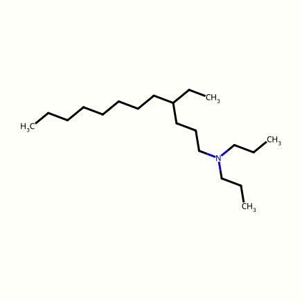 CCCCCCCCC(CC)CCCN(CCC)CCC